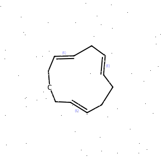 [C]1=C/CCC/C=C/C/C=C/CC/1